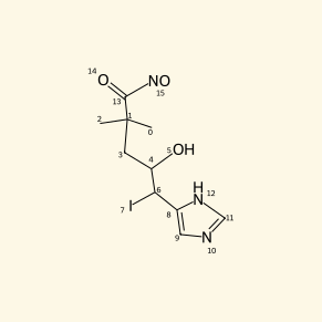 CC(C)(CC(O)C(I)c1cnc[nH]1)C(=O)N=O